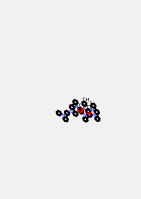 Cc1cc(C)c(B(c2cccc(-n3c4ccccc4c4ccc5c(c6ccccc6n5-c5ccc6c(c5)c5ccccc5n6-c5ccccc5)c43)c2)c2cccc(-n3c4ccccc4c4ccc5c6ccccc6n(-c6ccc7c(c6)c6ccccc6n7-c6ccccc6)c5c43)c2)c(C)c1